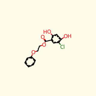 O=C(OCCOc1ccccc1)c1cc(Cl)c(O)cc1O